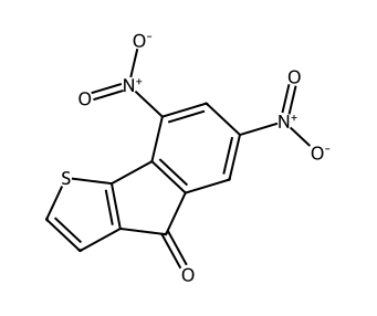 O=C1c2ccsc2-c2c1cc([N+](=O)[O-])cc2[N+](=O)[O-]